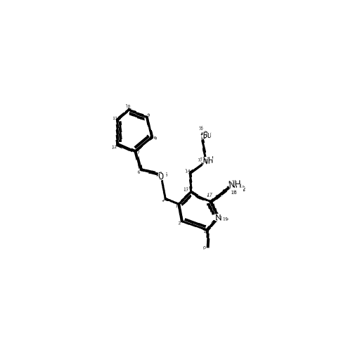 Cc1cc(COCc2ccccc2)c(CNC(C)(C)C)c(N)n1